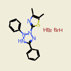 Br.Br.Cc1nc(N2N=C(c3ccccc3)NN2c2ccccc2)sc1C